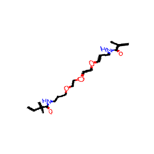 C=C(C)C(=O)NCCCOCCOCCOCCCNC(=O)C(C)(C)CC